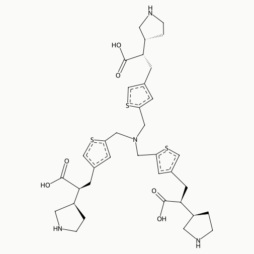 O=C(O)[C@@H](Cc1csc(CN(Cc2cc(C[C@H](C(=O)O)[C@H]3CCNC3)cs2)Cc2cc(C[C@H](C(=O)O)[C@H]3CCNC3)cs2)c1)[C@H]1CCNC1